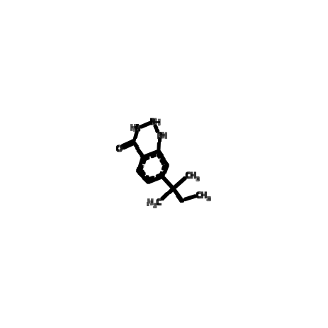 CCC(C)(C)c1ccc2c(c1)BBBC2=O